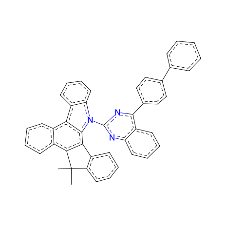 CC1(C)c2ccccc2-c2c1c1ccccc1c1c3ccccc3n(-c3nc(-c4ccc(-c5ccccc5)cc4)c4ccccc4n3)c21